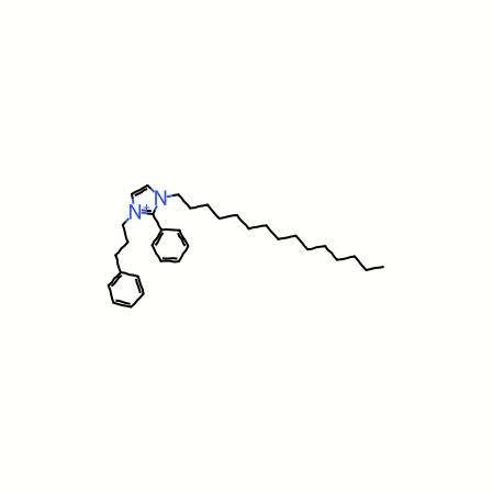 CCCCCCCCCCCCCCCn1cc[n+](CCCc2ccccc2)c1-c1ccccc1